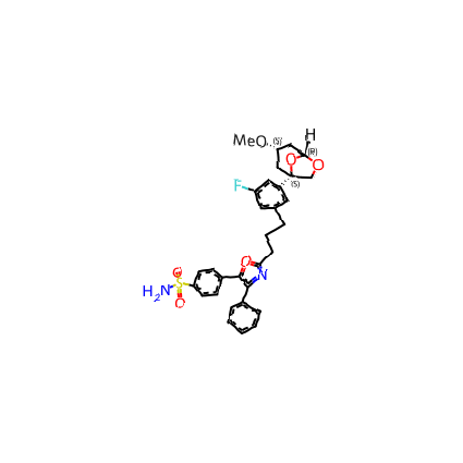 CO[C@@H]1C[C@@H]2OC[C@@](c3cc(F)cc(CCCc4nc(-c5ccccc5)c(-c5ccc(S(N)(=O)=O)cc5)o4)c3)(C1)O2